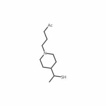 CC(=O)CCCN1CCC(C(C)S)CC1